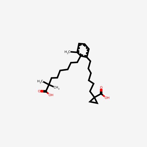 Cc1cccc(CCCCCCC2(C(=O)O)CC2)c1CCCCCCC(C)(C)C(=O)O